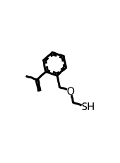 C=C(C)c1ccccc1COCS